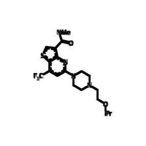 CNC(=O)c1csc2c(C(F)(F)F)cc(N3CCN(CCOC(C)C)CC3)nc12